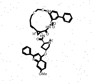 COc1ccc2c(O[C@@H]3C[C@@H](C(=O)N[C@]45C[C@H]4/C=C\CCCCCNc4ccc(-c6ccccc6)cc4S(=O)(=O)NC5=O)N(C(C)=O)C3)cc(-c3ccccc3)nc2c1